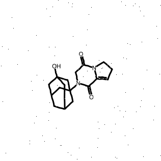 O=C1CN(C23CC4CC(CC(O)(C4)C2)C3)C(=O)C2=CCCN12